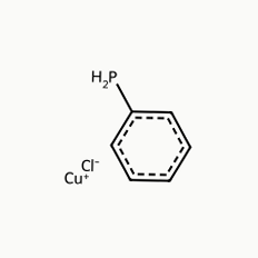 Pc1ccccc1.[Cl-].[Cu+]